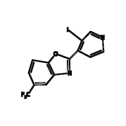 FC(F)(F)c1ccc2oc(-c3ccncc3I)nc2c1